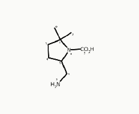 CC1(C)CCC(CN)N1C(=O)O